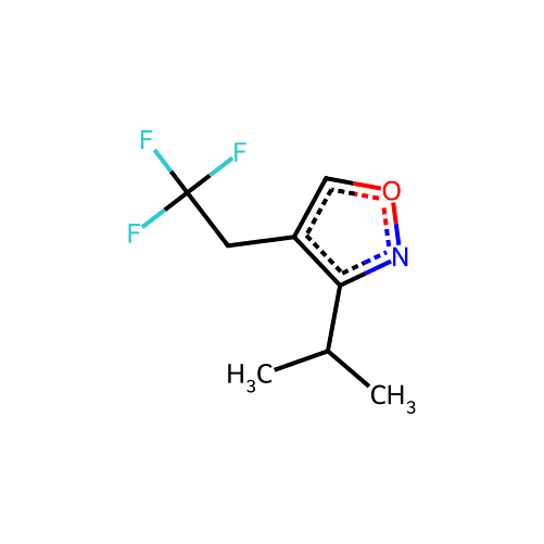 CC(C)c1nocc1CC(F)(F)F